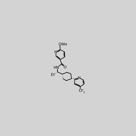 CC[C@H](NC(=O)c1ccc(OC)nc1)[C@H]1CC[C@@H](c2cc(C(F)(F)F)ccn2)CC1